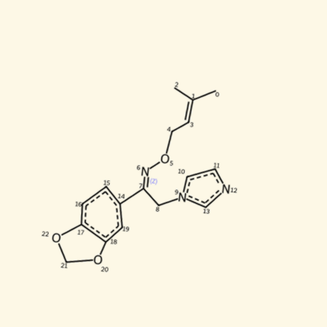 CC(C)=CCO/N=C(\Cn1ccnc1)c1ccc2c(c1)OCO2